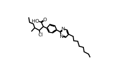 CCCCCCCCc1cnc(-c2ccc(C(C(=O)O)C(Cl)C(C)CCC)cc2)nc1